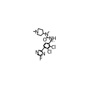 C[C@@H](NC(=O)N(C)C1CCN(C)CC1)c1ccc(-c2cncc(F)n2)c(Cl)c1Cl